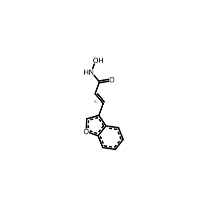 O=C(/C=C/c1coc2ccccc12)NO